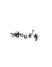 CC(C)(C)OC(=O)N1CC(N2CCc3cc(-c4cn(Cc5ccc(-c6nnc(C(F)F)o6)cc5F)nn4)ccc3C2)C1